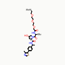 CNCCOCCOCCOCC(=O)NC(C(=O)N1C[C@H](O)C[C@H]1C(=O)NC(C)c1ccc(-c2scnc2C)cc1)C(C)(C)C